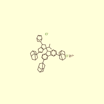 CC(C)C1(C2c3ccc(C45CC6CC(CC(C6)C4)C5)cc3-c3cc(C45CC6CC(CC(C6)C4)C5)ccc32)CC(C2CC3C=CC2C3)C2=C1C=C(C13CC4CC(CC(C4)C1)C3)C2.[Cl-].[Cl-].[Zr+2]